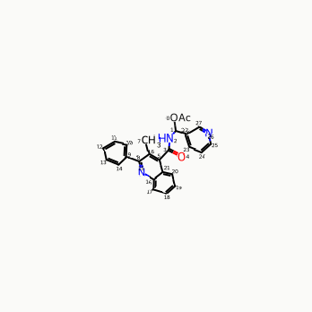 CC(=O)OC(NC(=O)c1c(C)c(-c2ccccc2)nc2ccccc12)c1cccnc1